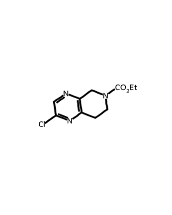 CCOC(=O)N1CCc2nc(Cl)cnc2C1